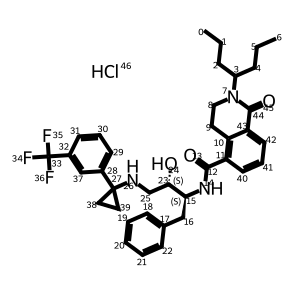 CCCC(CCC)N1CCc2c(C(=O)N[C@@H](Cc3ccccc3)[C@@H](O)CNC3(c4cccc(C(F)(F)F)c4)CC3)cccc2C1=O.Cl